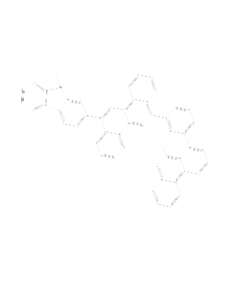 CC1(C)c2ccccc2-c2ccc(-c3cc4c5ccccc5c(-c5cccc6c5Oc5cc7ccccc7c7cccc-6c57)cc4c4ccccc34)cc21